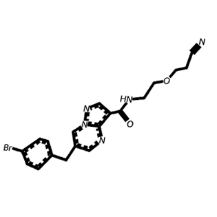 N#CCCOCCNC(=O)c1cnn2cc(Cc3ccc(Br)cc3)cnc12